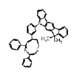 CC1(C)c2ccccc2-c2cc3c4ccccc4n(-c4cccc(/C5=C/C(c6ccccc6)=N\C(c6ccccc6)=C/CCC5)c4)c3cc21